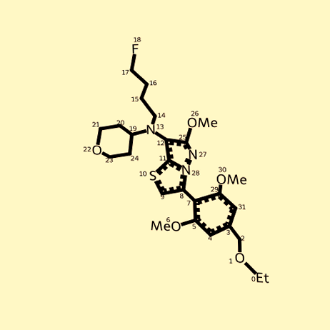 CCOCc1cc(OC)c(-c2csc3c(N(CCCCF)C4CCOCC4)c(OC)nn23)c(OC)c1